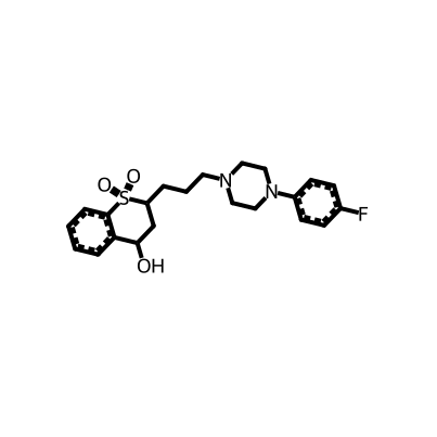 O=S1(=O)c2ccccc2C(O)CC1CCCN1CCN(c2ccc(F)cc2)CC1